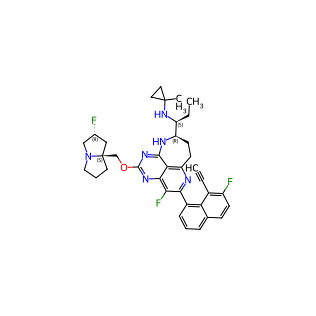 C#Cc1c(F)ccc2cccc(-c3nc4c5c(nc(OC[C@@]67CCCN6C[C@H](F)C7)nc5c3F)N[C@@H]([C@H](CC)NC3(C)CC3)CC4)c12